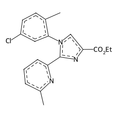 CCOC(=O)c1cn(-c2cc(Cl)ccc2C)c(-c2cccc(C)n2)n1